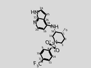 C[C@@H]1CCN(S(=O)(=O)c2ccc(C(F)(F)F)cc2)C[C@@H]1Nc1ccnc2[nH]ccc12